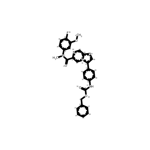 COc1cc(N(C)C(=O)c2cn3c(-c4ccc(NC(=O)OCc5ccccc5)cc4)cnc3cn2)ccc1F